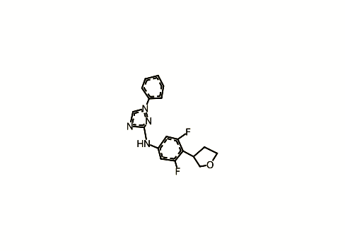 Fc1cc(Nc2ncn(-c3ccccc3)n2)cc(F)c1C1CCOC1